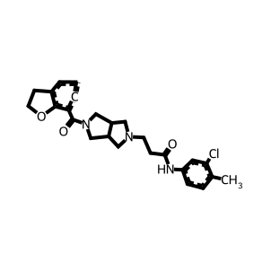 Cc1ccc(NC(=O)CCN2CC3CN(C(=O)c4cccc5c4OCC5)CC3C2)cc1Cl